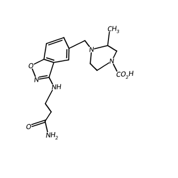 CC1CN(C(=O)O)CCN1Cc1ccc2onc(NCCC(N)=O)c2c1